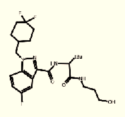 CC(C)(C)C(NC(=O)c1nn(CC2CCC(F)(F)CC2)c2ccc(F)cc12)C(=O)NCCCO